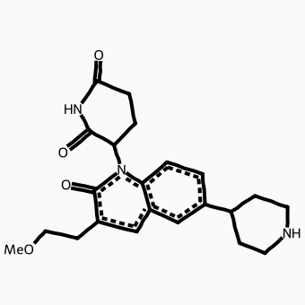 COCCc1cc2cc(C3CCNCC3)ccc2n(C2CCC(=O)NC2=O)c1=O